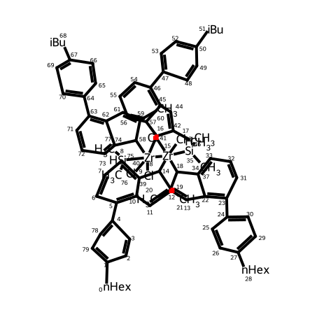 CCCCCCc1ccc(-c2cccc3c2C=C(C)[CH]3[Zr]([Cl])([Cl])([CH]2C(C)=Cc3c(-c4ccc(CCCCCC)cc4)cccc32)([SiH](C)C)[Zr]([Cl])([Cl])([CH]2C(C)=Cc3c(-c4ccc(C(C)CC)cc4)cccc32)([CH]2C(C)=Cc3c(-c4ccc(C(C)CC)cc4)cccc32)[SiH](C)C)cc1